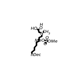 CCCCCCCCCCCCCCCCCCN(C)CC(O)O.COS(=O)(=O)OC